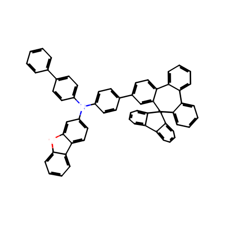 c1ccc(-c2ccc(N(c3ccc(-c4ccc5c(c4)C4(c6ccccc6-c6ccccc6-5)c5ccccc5-c5ccccc54)cc3)c3ccc4c(c3)oc3ccccc34)cc2)cc1